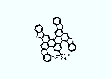 CC(C)(C)c1cc2c3c(c1)-c1c4c(cc5c6ccccc6oc5c4cc4oc5ccccc5c14)B3c1cc3c4ccccc4oc3c3cc4oc5ccccc5c4c-2c13